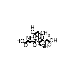 CNCC(=O)O.NC(CCC(=O)NC(CS)C(=O)NCC(=O)O)C(=O)O